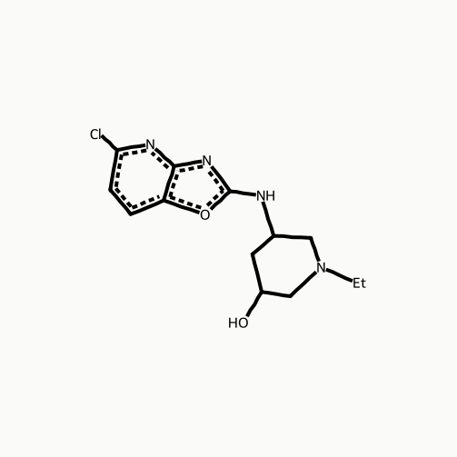 CCN1CC(O)CC(Nc2nc3nc(Cl)ccc3o2)C1